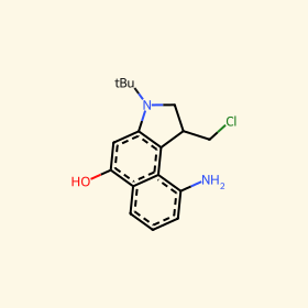 CC(C)(C)N1CC(CCl)c2c1cc(O)c1cccc(N)c21